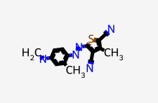 C=Nc1ccc(/N=N/c2sc(C#N)c(C)c2C#N)c(C)c1